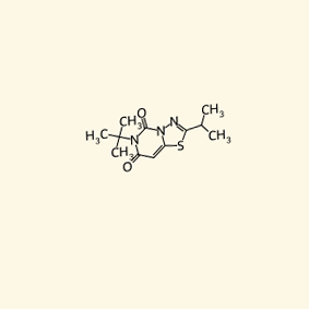 CC(C)c1nn2c(=O)n(C(C)(C)C)c(=O)cc2s1